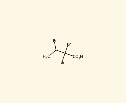 CC(Br)C(Br)(Br)C(=O)O